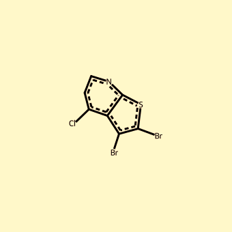 Clc1ccnc2sc(Br)c(Br)c12